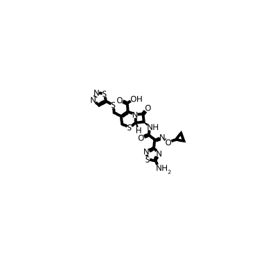 Nc1nc(C(=NOC2CC2)C(=O)N[C@@H]2C(=O)N3C(C(=O)O)=C(CSc4cnns4)CS[C@@H]23)ns1